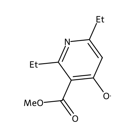 CCc1cc([O])c(C(=O)OC)c(CC)n1